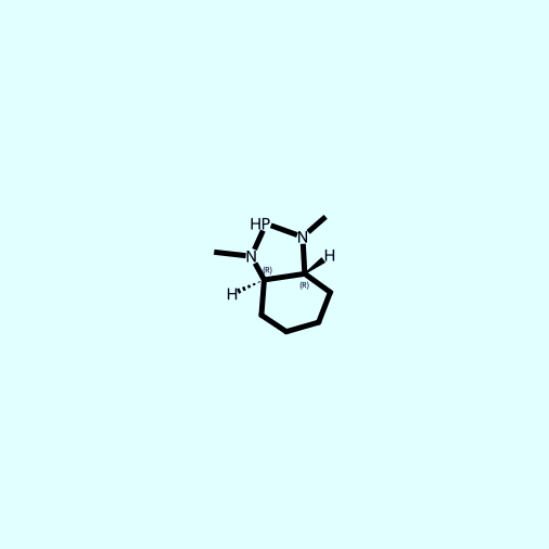 CN1PN(C)[C@@H]2CCCC[C@H]21